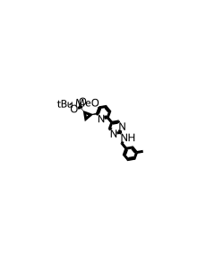 COc1ccc(-c2cnc(NCc3cccc(C)c3)nc2)nc1[C@H]1C[C@@H]1C(=O)OC(C)(C)C